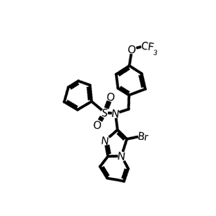 O=S(=O)(c1ccccc1)N(Cc1ccc(OC(F)(F)F)cc1)c1nc2ccccn2c1Br